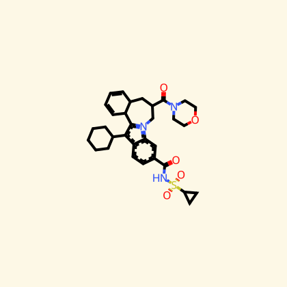 O=C(NS(=O)(=O)C1CC1)c1ccc2c(C3CCCCC3)c3n(c2c1)CC(C(=O)N1CCOCC1)CC1C=CC=CC31